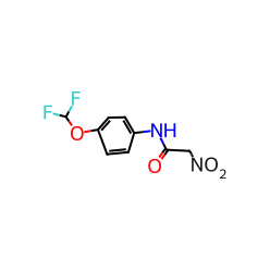 O=C(C[N+](=O)[O-])Nc1ccc(OC(F)F)cc1